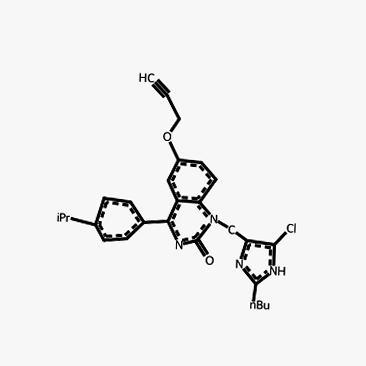 C#CCOc1ccc2c(c1)c(-c1ccc(C(C)C)cc1)nc(=O)n2Cc1nc(CCCC)[nH]c1Cl